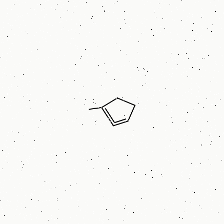 CC1=C=CCC1